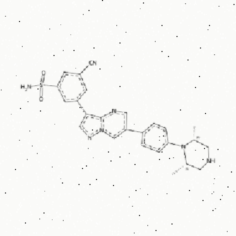 C[C@@H]1CNC[C@H](C)N1c1ccc(-c2cnc3c(-c4cc(C#N)cc(S(N)(=O)=O)c4)cnn3c2)cc1